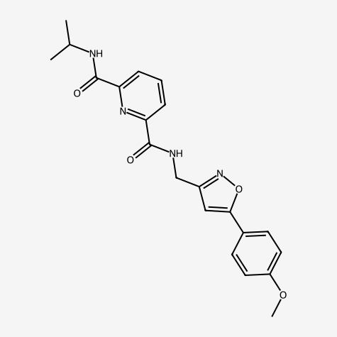 COc1ccc(-c2cc(CNC(=O)c3cccc(C(=O)NC(C)C)n3)no2)cc1